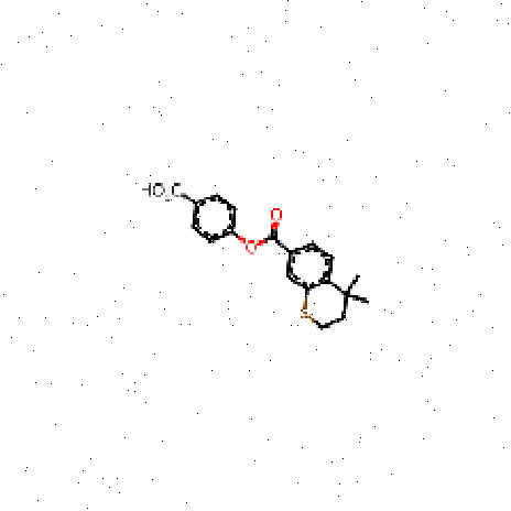 CC1(C)CCSc2cc(C(=O)Oc3ccc(C(=O)O)cc3)ccc21